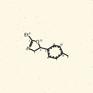 CCC1=NCC(c2ccc(C)cc2)O1